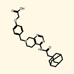 O=C(O)COc1ccc(CN2CCc3c(ncnc3NC(=O)CC34CC5CC(CC(C5)C3)C4)C2)cc1